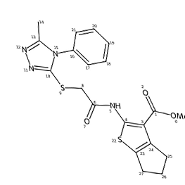 COC(=O)c1c(NC(=O)CSc2nnc(C)n2-c2ccccc2)sc2c1CCC2